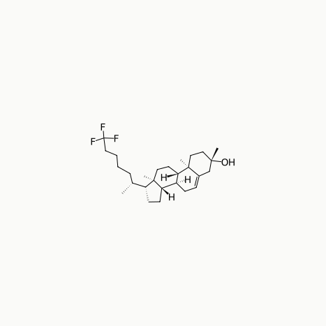 C[C@H](CCCCC(F)(F)F)[C@H]1CC[C@H]2[C@@H]3CC=C4C[C@@](C)(O)CC[C@]4(C)[C@H]3CC[C@]12C